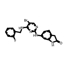 O=C1Cc2ccc(Nc3ncc(Br)c(NCc4ccccc4F)n3)cc2N1